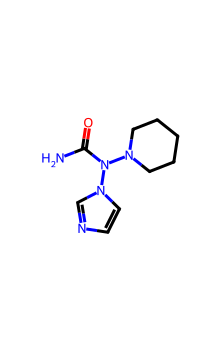 NC(=O)N(N1CCCCC1)n1ccnc1